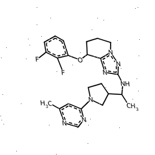 Cc1cc(N2CCC(C(C)Nc3nc4n(n3)CCCC4Oc3cccc(F)c3F)C2)ncn1